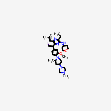 CCc1nc(C=C(C)C)c(/C(=C\I)c2ccc(N3CCC(N4CCN(C)CC4)CC3C)c(OC)c2)nc1NC1CCOCC1